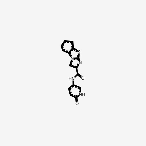 O=C(Nc1ccc(=O)[nH]c1)c1cn2c(n1)sc1ccccc12